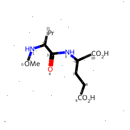 CONC(C(=O)NC(CCC(=O)O)C(=O)O)C(C)C